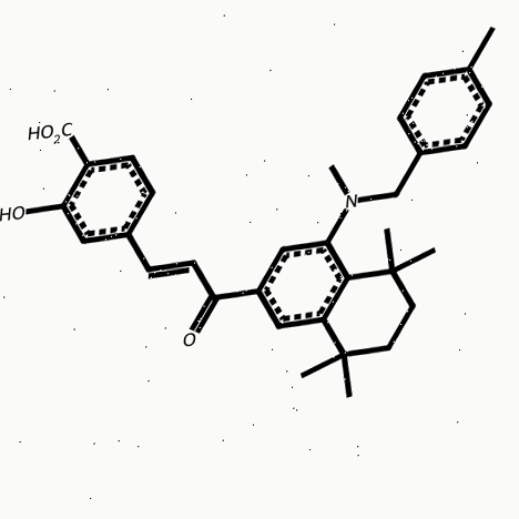 Cc1ccc(CN(C)c2cc(C(=O)C=Cc3ccc(C(=O)O)c(O)c3)cc3c2C(C)(C)CCC3(C)C)cc1